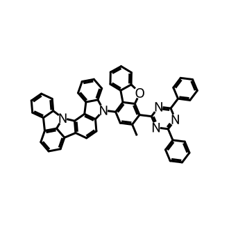 Cc1cc(-n2c3ccccc3c3c2ccc2c4cccc5c6ccccc6n(c54)c23)c2c(oc3ccccc32)c1-c1nc(-c2ccccc2)nc(-c2ccccc2)n1